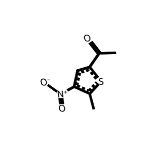 CC(=O)c1cc([N+](=O)[O-])c(C)s1